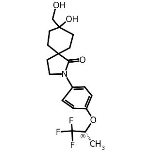 C[C@@H](Oc1ccc(N2CCC3(CCC(O)(CO)CC3)C2=O)cc1)C(F)(F)F